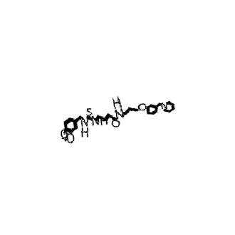 O=C(CCCNC(=S)NCc1ccc2c(c1)OCO2)NCCCOc1cccc(CN2CCCCC2)c1